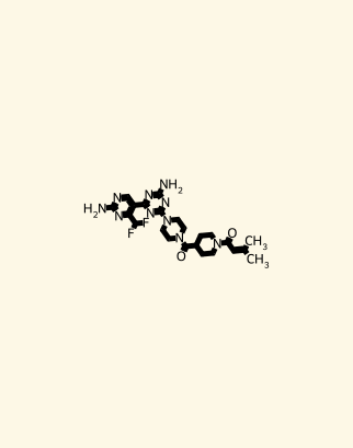 CC(C)=CC(=O)N1CCC(C(=O)N2CCN(c3nc(N)nc(-c4cnc(N)nc4C(F)F)n3)CC2)CC1